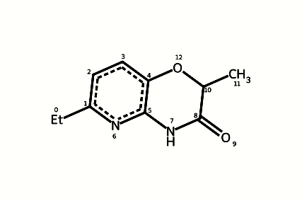 CCc1ccc2c(n1)NC(=O)C(C)O2